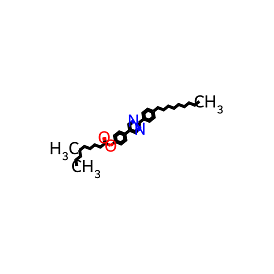 CCCCCCCCCc1ccc(-c2ncc(-c3ccc(OC(=O)CCCCC(C)CCC)cc3)cn2)cc1